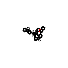 c1ccc(-c2nc(-c3ccc4c(c3)oc3ccccc34)nc(-c3cccc4oc5ccc(-c6ccc7ccccc7c6)cc5c34)n2)cc1